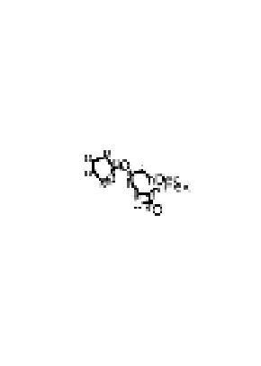 CCCCCCCCCCCC(CC1OC(=O)C1CCCCCC)OC1CCCCO1